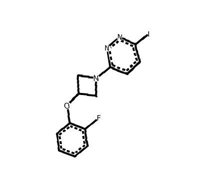 Fc1ccccc1OC1CN(c2ccc(I)nn2)C1